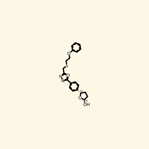 O[C@@H]1CC[C@@H](c2ccc(-c3nnc(CSCCOc4ccccc4)o3)cc2)O1